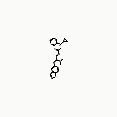 CN(C)[C@H](CNC(=O)C[C@H](c1cccnc1)C1CC1)Cc1ccc2[nH]ncc2c1